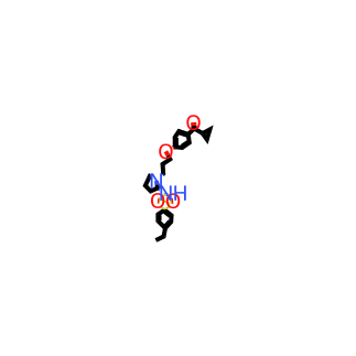 CCc1ccc(S(=O)(=O)NC2CCCN2CCCOc2ccc(C(=O)C3CC3)cc2)cc1